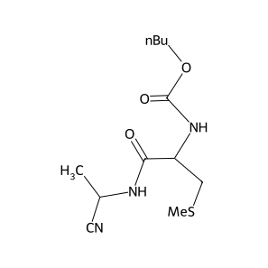 CCCCOC(=O)NC(CSC)C(=O)NC(C)C#N